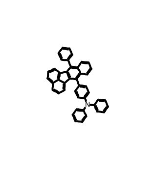 c1ccc(-c2c3c(c(-c4ccc(N(c5ccccc5)c5ccccc5)cc4)c4ccccc24)-c2cccc4cccc-3c24)cc1